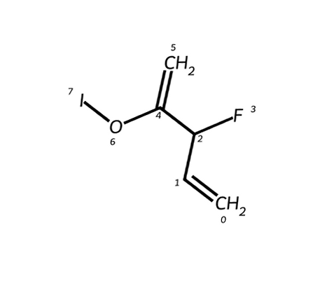 C=CC(F)C(=C)OI